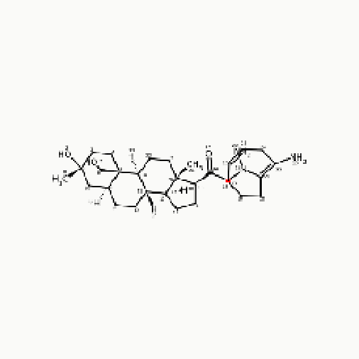 C[C@@]1(O)CC[C@@]2(CO)[C@@H](CC[C@H]3[C@@H]4CC[C@H](C(=O)CN(N)/C5=C(/N)C/C=C\CCC5)[C@@]4(C)CC[C@@H]32)C1